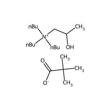 CC(C)(C)C(=O)[O-].CCCC[N+](CCCC)(CCCC)CC(C)O